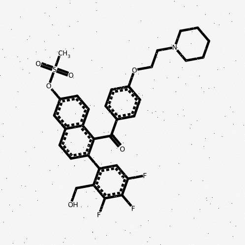 CS(=O)(=O)Oc1ccc2c(C(=O)c3ccc(OCCN4CCCCC4)cc3)c(-c3cc(F)c(F)c(F)c3CO)ccc2c1